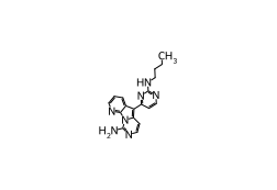 CCCCNc1nccc(-c2c3cccnc3n3c(N)nccc23)n1